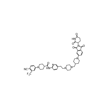 N#Cc1ccc(N2CCC(C(=O)Nc3ccc(CCN4CCN(CC5CCN(c6ccc7c(c6)C(=O)N(C6CCC(=O)NC6=O)C7=O)CC5)CC4)cn3)CC2)cc1C(F)(F)F